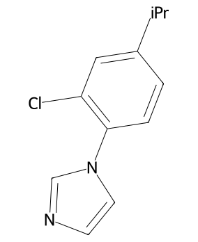 CC(C)c1ccc(-n2ccnc2)c(Cl)c1